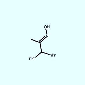 CCCC(CCC)/C(C)=N/O